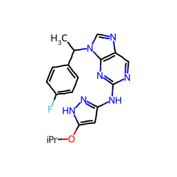 CC(C)Oc1cc(Nc2ncc3ncn(C(C)c4ccc(F)cc4)c3n2)n[nH]1